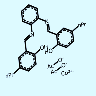 CC(=O)[O-].CC(=O)[O-].CCCc1ccc(O)c(C=Nc2ccccc2N=Cc2cc(CCC)ccc2O)c1.[Co+2]